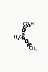 CCOC(Cc1ccc(OCc2sc(-c3ccc(-c4csc(C)n4)cc3)cc2C)cc1)C(=O)O